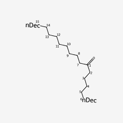 C=C(CCCCCCCCCCCCCC)CCCCCCCCCCCCCCCCCC